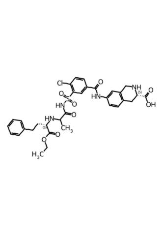 CCOC(=O)[C@H](CCc1ccccc1)NC(C)C(=O)NS(=O)(=O)c1cc(C(=O)Nc2ccc3c(c2)CN[C@H](C(=O)O)C3)ccc1Cl